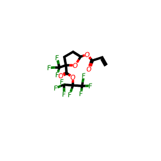 C=CC(=O)OC1CCC(C(=O)OC(F)(C(F)(F)F)C(F)(F)F)(C(F)(F)F)O1